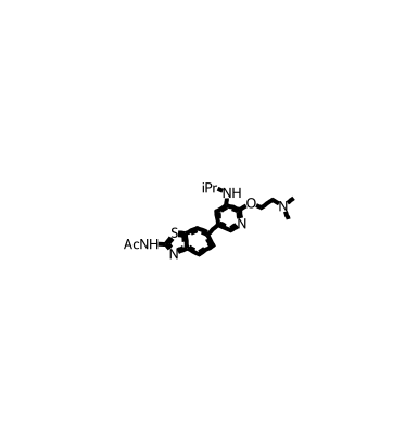 CC(=O)Nc1nc2ccc(-c3cnc(OCCN(C)C)c(NC(C)C)c3)cc2s1